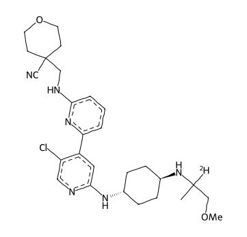 [2H]C(C)(COC)N[C@H]1CC[C@H](Nc2cc(-c3cccc(NCC4(C#N)CCOCC4)n3)c(Cl)cn2)CC1